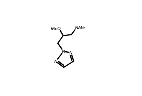 CNCC(Cn1nccn1)OC